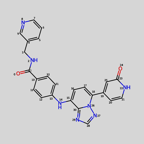 O=C(NCc1cccnc1)c1ccc(Nc2ccc(-c3cc[nH]c(=O)c3)n3ncnc23)cc1